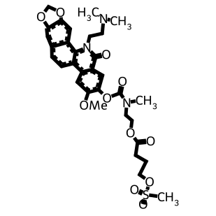 COc1cc2c(cc1OC(=O)N(C)CCOC(=O)CCCOS(C)(=O)=O)c(=O)n(CCN(C)C)c1c3cc4c(cc3ccc21)OCO4